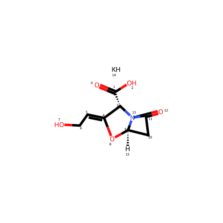 O=C(O)[C@H]1/C(=C/CO)O[C@@H]2CC(=O)N21.[KH]